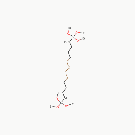 CCO[Si](OCC)(OCC)[SiH2]CCCSSSSCCC[SiH2][Si](OCC)(OCC)OCC